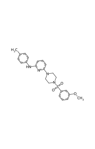 COc1cccc(S(=O)(=O)N2CCN(c3cccc(Nc4ccc(C)cc4)n3)CC2)c1